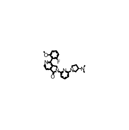 COc1cccc(F)c1-c1nccc2c1CN(c1cccc(N3CC[C@@H](N(C)C)C3)n1)C2=O